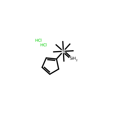 Cl.Cl.[CH3][Ti]([CH3])([CH3])([CH3])([CH3])([CH3])(=[SiH2])[C]1=CC=CC1